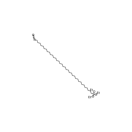 CCO[Si](CCCCCCCCCCCCCCCCCCCCCCCCCCCCCCCCCCCCN=C=O)(OCC)OCC